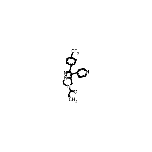 C=CC(=O)N1CCn2nc(-c3ccc(C(F)(F)F)cc3)c(-c3ccncc3)c2C1